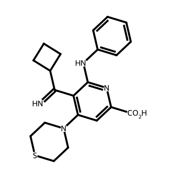 N=C(c1c(N2CCSCC2)cc(C(=O)O)nc1Nc1ccccc1)C1CCC1